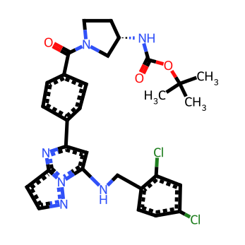 CC(C)(C)OC(=O)N[C@H]1CCN(C(=O)c2ccc(-c3cc(NCc4ccc(Cl)cc4Cl)n4nccc4n3)cc2)C1